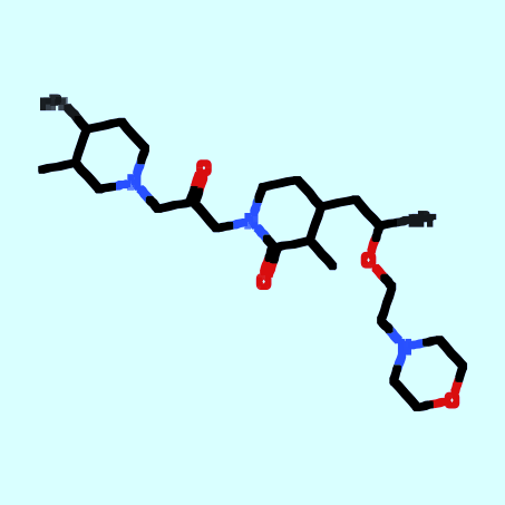 CCCC(CC1CCN(CC(=O)CN2CCC(CCC)C(C)C2)C(=O)C1C)OCCN1CCOCC1